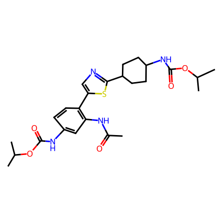 CC(=O)Nc1cc(NC(=O)OC(C)C)ccc1-c1cnc(C2CCC(NC(=O)OC(C)C)CC2)s1